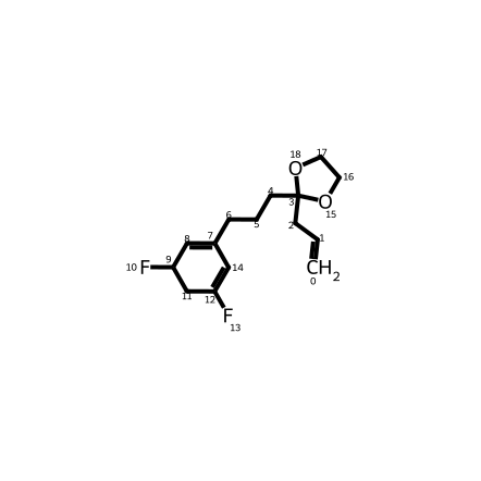 C=CCC1(CCCC2=CC(F)CC(F)=C2)OCCO1